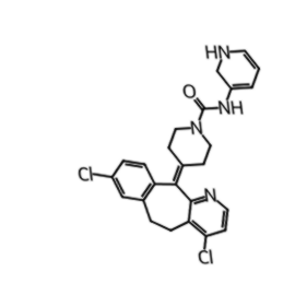 O=C(NC1=CC=CNC1)N1CCC(=C2c3ccc(Cl)cc3CCc3c(Cl)ccnc32)CC1